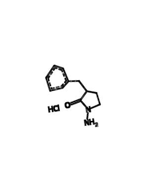 Cl.NN1CCC(Cc2ccccc2)C1=O